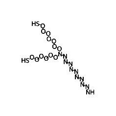 N=N/N=N/N=N/N=N/N=N/N(OOOOOOS)OOOOOOOS